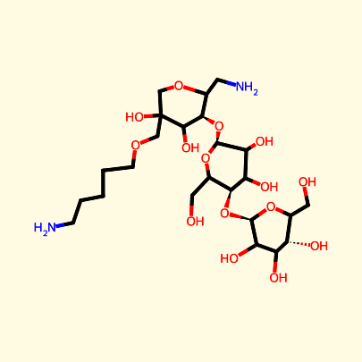 NCCCCCOCC1(O)COC(CN)[C@@H](O[C@@H]2OC(CO)[C@H](O[C@H]3OC(CO)[C@H](O)C(O)C3O)C(O)C2O)C1O